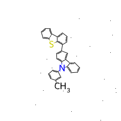 Cc1cccc(-n2c3ccccc3c3cc(-c4cccc5c4sc4ccccc45)ccc32)c1